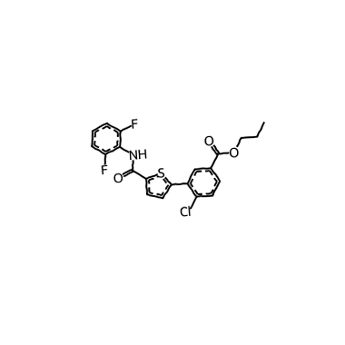 CCCOC(=O)c1ccc(Cl)c(-c2ccc(C(=O)Nc3c(F)cccc3F)s2)c1